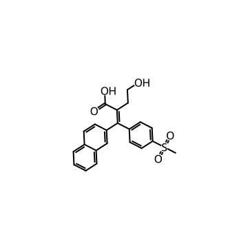 CS(=O)(=O)c1ccc(C(=C(CCO)C(=O)O)c2ccc3ccccc3c2)cc1